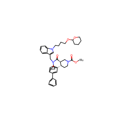 CC(C)(C)OC(=O)N1CC[C@H](c2cccc(-c3ccccc3)c2)[C@@H](C(=O)N(Cc2cn(CCCCOC3CCCCO3)c3ccccc23)C2CC2)C1